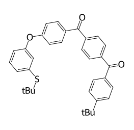 CC(C)(C)Sc1cccc(Oc2ccc(C(=O)c3ccc(C(=O)c4ccc(C(C)(C)C)cc4)cc3)cc2)c1